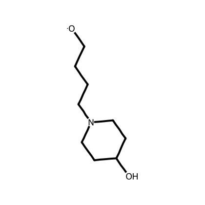 [O]CCCCN1CCC(O)CC1